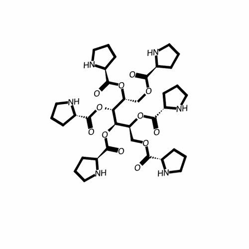 O=C(OC[C@H](OC(=O)[C@@H]1CCCN1)[C@@H](OC(=O)[C@@H]1CCCN1)[C@H](OC(=O)[C@@H]1CCCN1)[C@@H](COC(=O)[C@@H]1CCCN1)OC(=O)[C@@H]1CCCN1)[C@@H]1CCCN1